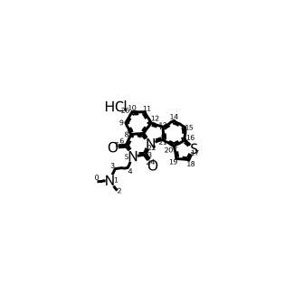 CN(C)CCn1c(=O)c2cccc3c4ccc5sccc5c4n(c1=O)c23.Cl